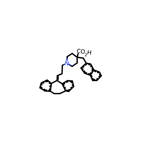 O=C(O)C1(Cc2ccc3ccccc3c2)CCN(CCC=C2c3ccccc3CCc3ccccc32)CC1